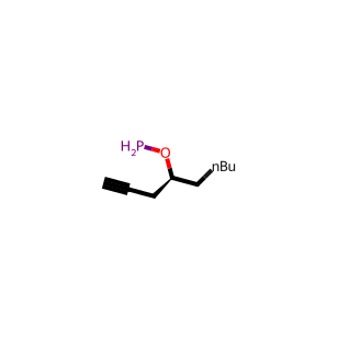 C#CC[C@H](CCCCC)OP